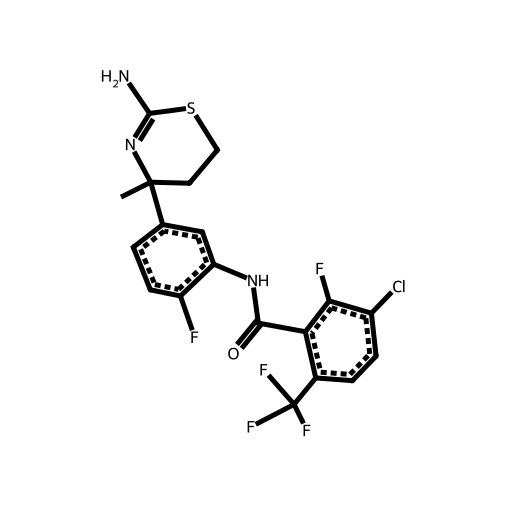 CC1(c2ccc(F)c(NC(=O)c3c(C(F)(F)F)ccc(Cl)c3F)c2)CCSC(N)=N1